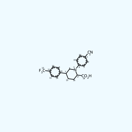 N#Cc1ccc(N2CC(c3ccc(C(F)(F)F)cc3)CCC2C(=O)O)cc1